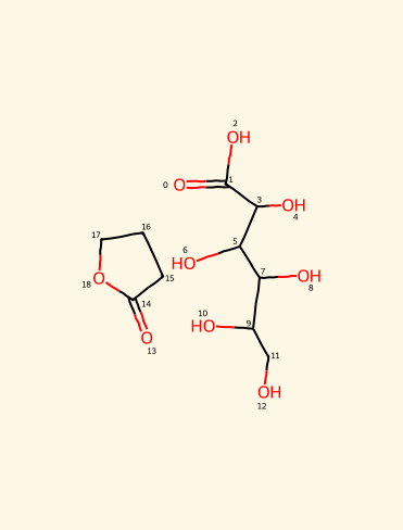 O=C(O)C(O)C(O)C(O)C(O)CO.O=C1CCCO1